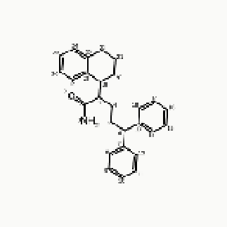 NC(=O)C(CCC(c1ccccc1)c1ccccc1)C1CCCc2ccccc21